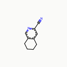 N#Cc1cc2c(cn1)CCCC2